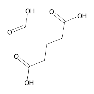 O=C(O)CCCC(=O)O.O=CO